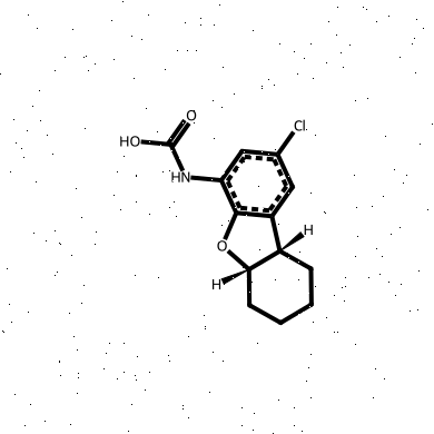 O=C(O)Nc1cc(Cl)cc2c1O[C@H]1CCCC[C@@H]21